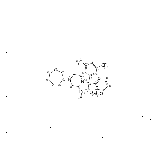 CCNC(=O)C(c1cc(C(F)(F)F)cc(C(F)(F)F)c1)(c1ccccc1OC)N1CCN(C2CCCCCC2)CC1